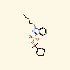 CCCCCn1nc(S(=O)(=O)OC(C)(C)c2ccccc2)c2ccccc21